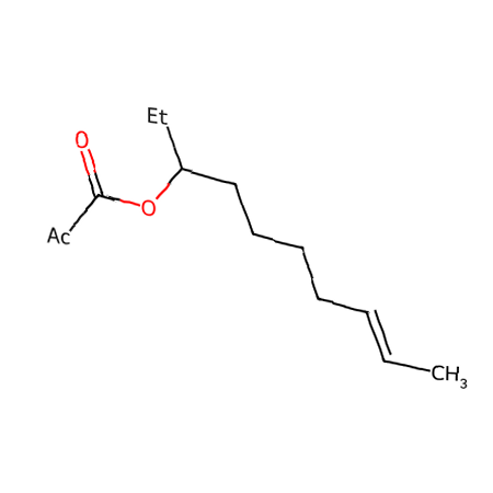 C/C=C/CCCCC(CC)OC(=O)C(C)=O